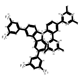 Cc1nc(C)nc(-c2ccc(-n3c4ccc(-c5cc(C(F)(F)F)cc(C(F)(F)F)c5)cc4c4cc(-c5cc(C(F)(F)F)cc(C(F)(F)F)c5)ccc43)c(-c3nc(C)nc(C)n3)c2)n1